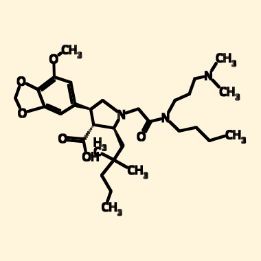 CCCCN(CCCN(C)C)C(=O)CN1C[C@H](c2cc(OC)c3c(c2)OCO3)[C@@H](C(=O)O)[C@@H]1CC(C)(C)CCC